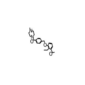 CCc1c(OCc2ccc(C(=O)N3CCN(C)CC3)cc2)cccc1C(C)=O